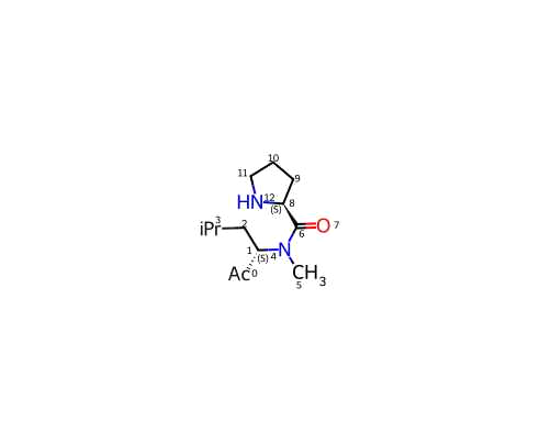 CC(=O)[C@H](CC(C)C)N(C)C(=O)[C@@H]1CCCN1